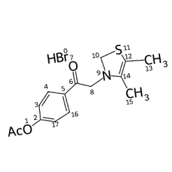 Br.CC(=O)Oc1ccc(C(=O)CN2CSC(C)=C2C)cc1